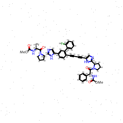 COC(=O)N[C@H](C(=O)N1CCC[C@H]1c1ncc(-c2ccc(C#CC#Cc3cnc(C4CCCN4C(=O)[C@H](NC(=O)OC)c4ccccc4)[nH]3)c(-c3ccccc3F)c2)[nH]1)C(C)C